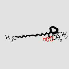 CCCCCCCCCCCCCCCCC(C(=O)O)c1cccc(C)c1C